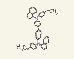 C=Cc1ccc(N(c2ccc(-c3ccc(N(c4ccc(C=C)cc4)c4cccc5ccccc45)cc3)cc2)c2cccc3ccccc23)cc1